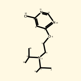 CC(C)N(CCOc1cc(Cl)ncn1)C(C)C